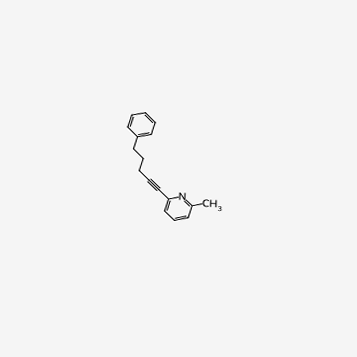 Cc1cccc(C#CCCCc2ccccc2)n1